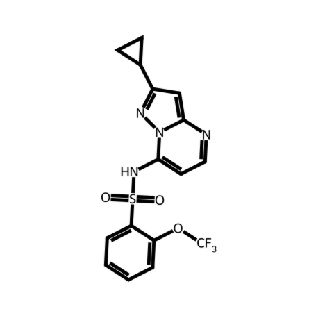 O=S(=O)(Nc1ccnc2cc(C3CC3)nn12)c1ccccc1OC(F)(F)F